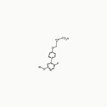 CC(C)Oc1cc(-c2ccc(OCC3CC3C(=O)O)cc2)c(F)cn1